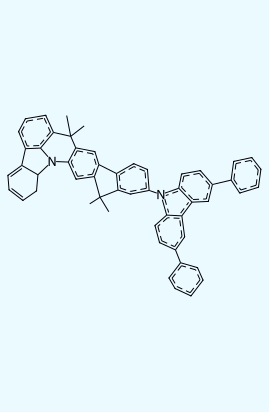 CC1(C)c2cc(-n3c4ccc(-c5ccccc5)cc4c4cc(-c5ccccc5)ccc43)ccc2-c2cc3c(cc21)N1c2c(cccc2C3(C)C)C2=CC=CCC21